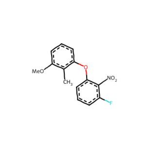 COc1cccc(Oc2cccc(F)c2[N+](=O)[O-])c1C